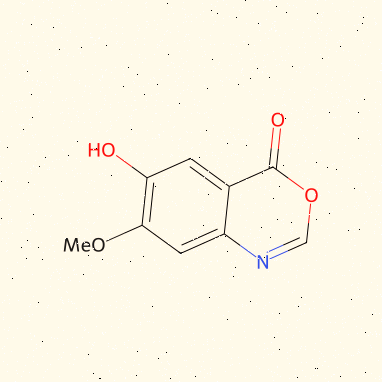 COc1cc2ncoc(=O)c2cc1O